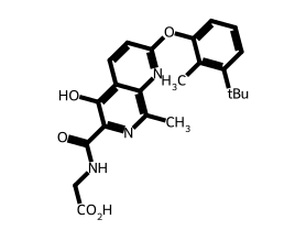 Cc1c(Oc2ccc3c(O)c(C(=O)NCC(=O)O)nc(C)c3n2)cccc1C(C)(C)C